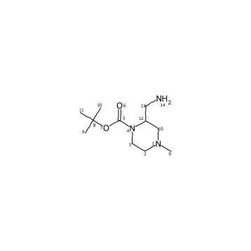 CN1CCN(C(=O)OC(C)(C)C)C(CN)C1